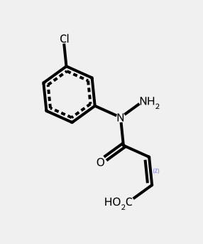 NN(C(=O)/C=C\C(=O)O)c1cccc(Cl)c1